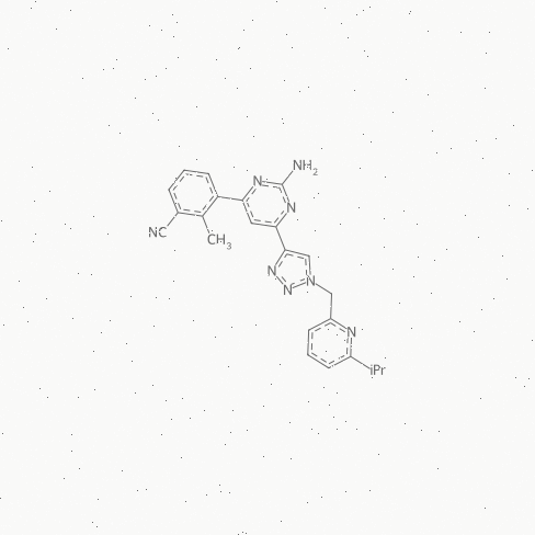 Cc1c(C#N)cccc1-c1cc(-c2cn(Cc3cccc(C(C)C)n3)nn2)nc(N)n1